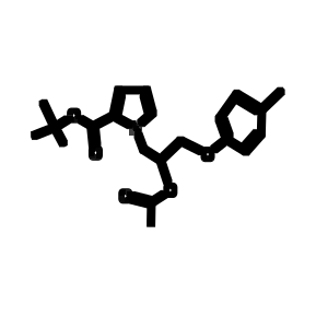 CC(=O)OC(COc1ccc(C)cc1)Cn1cccc1C(=O)OC(C)(C)C